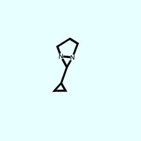 C1CN2C(C3CC3)N2C1